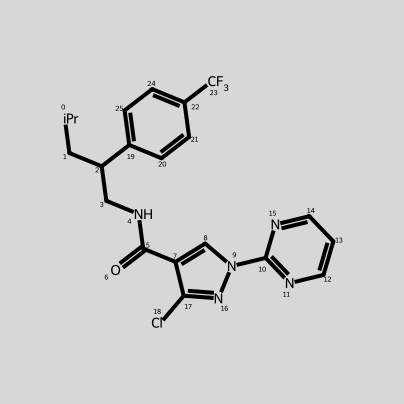 CC(C)CC(CNC(=O)c1cn(-c2ncccn2)nc1Cl)c1ccc(C(F)(F)F)cc1